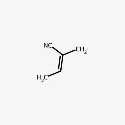 [CH2]/C(C#N)=C/C